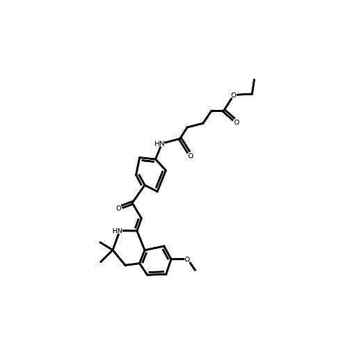 CCOC(=O)CCCC(=O)Nc1ccc(C(=O)/C=C2\NC(C)(C)Cc3ccc(OC)cc32)cc1